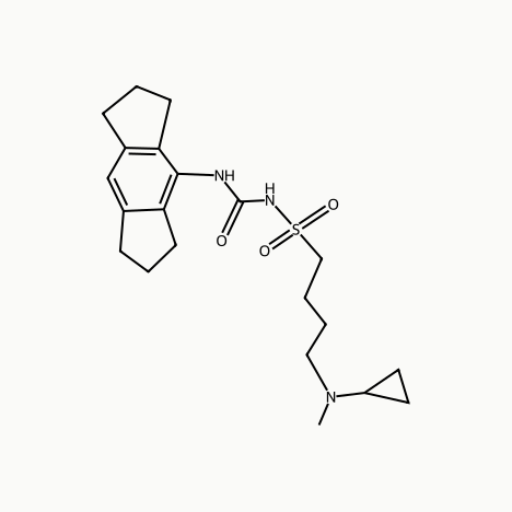 CN(CCCCS(=O)(=O)NC(=O)Nc1c2c(cc3c1CCC3)CCC2)C1CC1